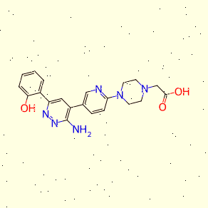 Nc1nnc(-c2ccccc2O)cc1-c1ccc(N2CCN(CC(=O)O)CC2)nc1